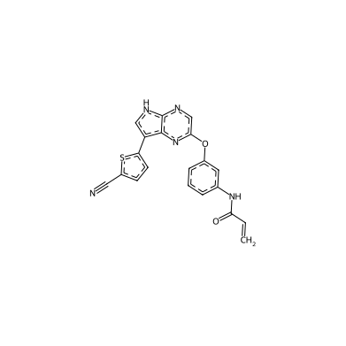 C=CC(=O)Nc1cccc(Oc2cnc3[nH]cc(-c4ccc(C#N)s4)c3n2)c1